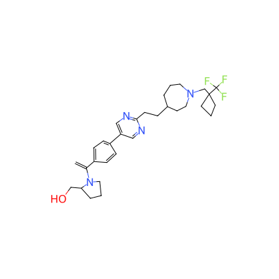 C=C(c1ccc(-c2cnc(CCC3CCCN(CC4(C(F)(F)F)CCC4)CC3)nc2)cc1)N1CCCC1CO